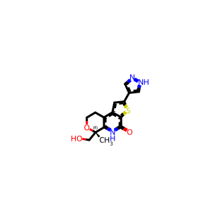 C[C@@]1(CO)OCCc2c1[nH]c(=O)c1sc(-c3cn[nH]c3)cc21